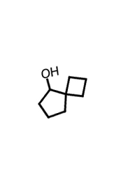 OC1CCCC12CCC2